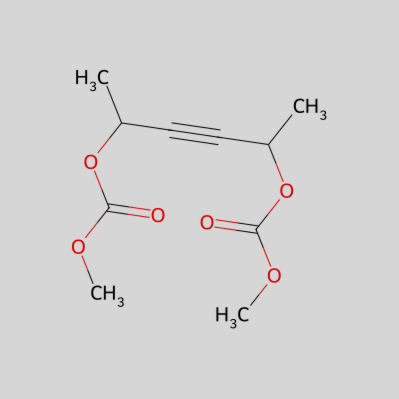 COC(=O)OC(C)C#CC(C)OC(=O)OC